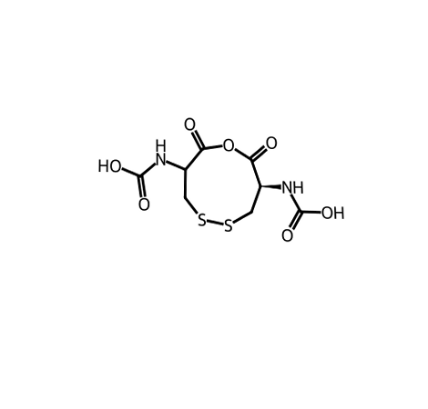 O=C(O)NC1CSSC[C@H](NC(=O)O)C(=O)OC1=O